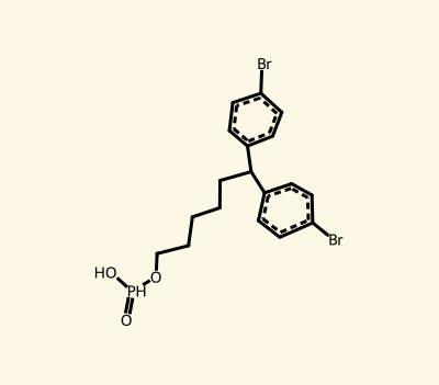 O=[PH](O)OCCCCCC(c1ccc(Br)cc1)c1ccc(Br)cc1